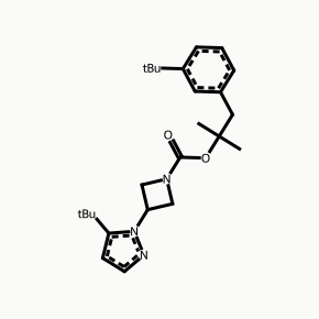 CC(C)(Cc1cccc(C(C)(C)C)c1)OC(=O)N1CC(n2nccc2C(C)(C)C)C1